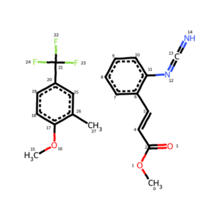 COC(=O)C=Cc1ccccc1N=C=N.COc1ccc(C(F)(F)F)cc1C